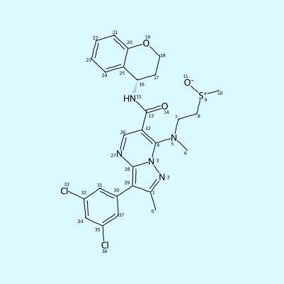 Cc1nn2c(N(C)CC[S+](C)[O-])c(C(=O)N[C@H]3CCOc4ccccc43)cnc2c1-c1cc(Cl)cc(Cl)c1